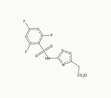 CCOC(=O)Cc1csc(NS(=O)(=O)c2c(F)cc(F)cc2F)n1